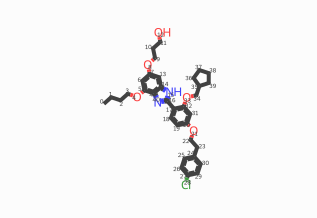 CCCCOc1cc(OCCCO)cc2[nH]c(-c3ccc(OCCc4ccc(Cl)cc4)cc3OCC3CCCC3)nc12